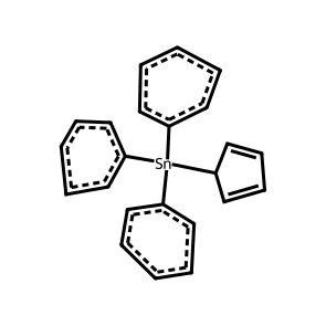 C1=C[CH]([Sn]([c]2ccccc2)([c]2ccccc2)[c]2ccccc2)C=C1